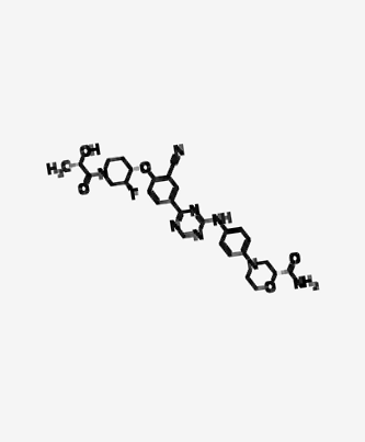 C[C@H](O)C(=O)N1CC[C@H](Oc2ccc(-c3ncnc(Nc4ccc(N5CCO[C@@H](C(N)=O)C5)cc4)n3)cc2C#N)[C@@H](F)C1